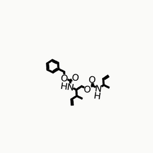 C=CC(C)NC(=O)OCC(NC(=O)OCc1ccccc1)C(C)C=C